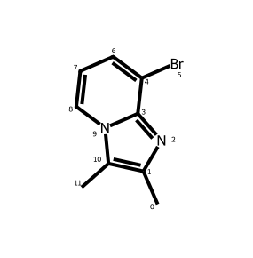 Cc1nc2c(Br)cccn2c1C